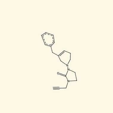 C#CCN1CCN(N2CCC=C(Cc3ccccc3)C2)C1=O